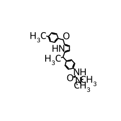 Cc1ccc(C(=O)c2ccc(C(C)c3ccc(NC(=O)N(C)C)cc3)[nH]2)cc1